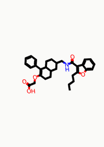 CCCCc1oc2ccccc2c1C(=O)NCC1CCC2C(c3ccccc3)=C(OCC(=O)O)CCC2C1